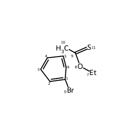 Brc1ccccc1.CCOC(C)=S